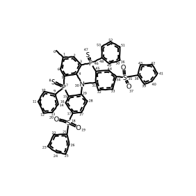 Cc1cc2c3c(c1)P(=S)(c1ccccc1)c1cc(S(=O)(=O)c4ccccc4)ccc1N3c1ccc(S(=O)(=O)c3ccccc3)cc1P2(=S)c1ccccc1